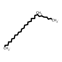 [CH2]CCCCCCCCCCCCCCCCCCCC(C)CCCCCC[CH2]